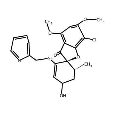 COc1cc(OC)c2c(c1Cl)O[C@]1(C2=O)C(NCc2ccccn2)=CC(O)C[C@H]1C